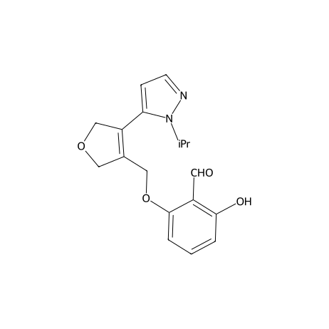 CC(C)n1nccc1C1=C(COc2cccc(O)c2C=O)COC1